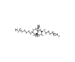 CCCCCCC1CCC2(C#N)C[C@H](CCCCCC)CC[C@@H]2C1